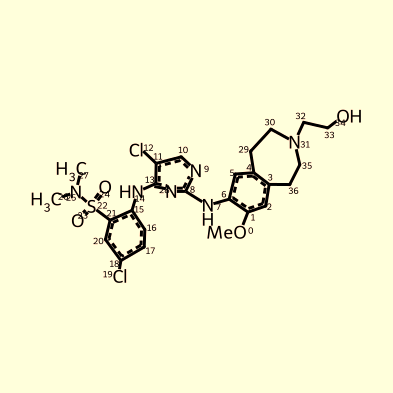 COc1cc2c(cc1Nc1ncc(Cl)c(Nc3ccc(Cl)cc3S(=O)(=O)N(C)C)n1)CCN(CCO)CC2